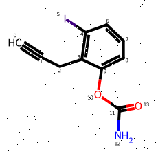 C#CCc1c(I)cccc1OC(N)=O